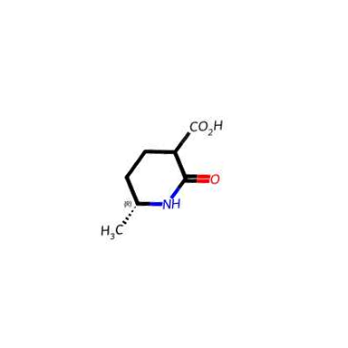 C[C@@H]1CCC(C(=O)O)C(=O)N1